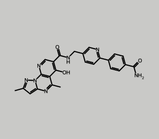 Cc1cc2nc(C)c3c(O)c(C(=O)NCc4ccc(-c5ccc(C(N)=O)cc5)nc4)cnc3n2n1